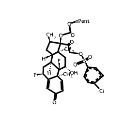 CCCCCOC(=O)O[C@]1(C(=O)COS(=O)(=O)c2ccc(Cl)cc2)[C@H](C)C[C@H]2[C@@H]3C[C@H](F)C4=CC(=O)C=C[C@]4(C)[C@@]3(F)[C@@H](O)C[C@@]21C